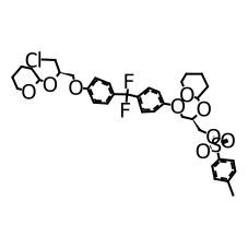 Cc1ccc(S(=O)(=O)OC[C@@H](COc2ccc(C(F)(F)c3ccc(OC[C@H](CCl)OC4CCCCO4)cc3)cc2)OC2CCCCO2)cc1